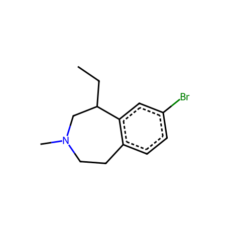 CCC1CN(C)CCc2ccc(Br)cc21